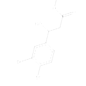 CC(C)(C)OC(=O)CC(O)c1ccc(Br)c(Br)c1